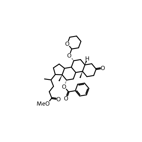 COC(=O)CCC(C)C1CCC2C3C(C[C@H](OC(=O)c4ccccc4)[C@]12C)[C@@]1(C)CCC(=O)C[C@H]1C[C@H]3OC1CCCCO1